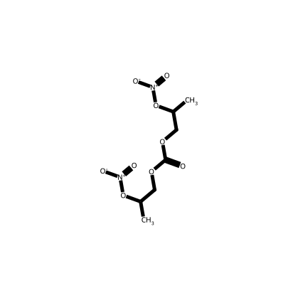 CC(COC(=O)OCC(C)O[N+](=O)[O-])O[N+](=O)[O-]